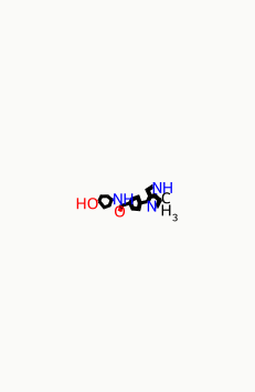 Cc1cnc(-c2ccc(C(=O)NC3CCC(O)CC3)cc2)c2cc[nH]c12